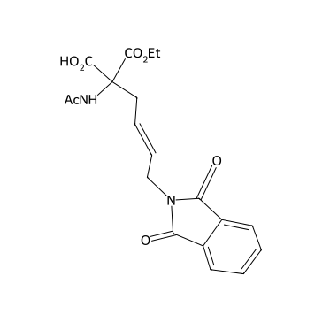 CCOC(=O)C(CC=CCN1C(=O)c2ccccc2C1=O)(NC(C)=O)C(=O)O